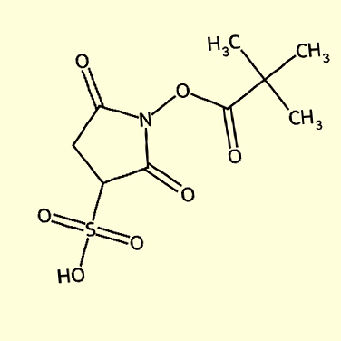 CC(C)(C)C(=O)ON1C(=O)CC(S(=O)(=O)O)C1=O